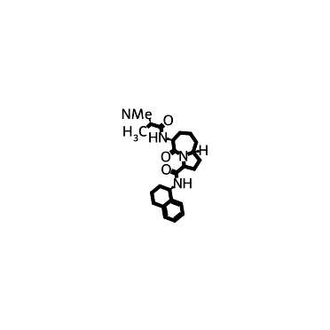 CN[C@@H](C)C(=O)N[C@H]1CCC[C@@H]2CCC(C(=O)N[C@@H]3CCCc4ccccc43)N2C1=O